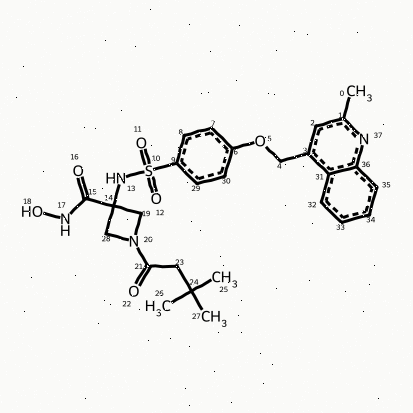 Cc1cc(COc2ccc(S(=O)(=O)NC3(C(=O)NO)CN(C(=O)CC(C)(C)C)C3)cc2)c2ccccc2n1